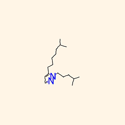 CC(C)CCCCCc1ccnn1CCCC(C)C